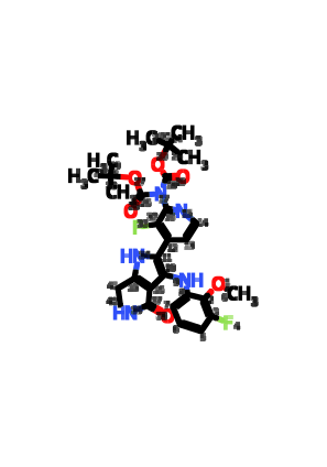 COc1c(F)cccc1Nc1c(-c2ccnc(N(C(=O)OC(C)(C)C)C(=O)OC(C)(C)C)c2F)[nH]c2c1C(=O)NCC2